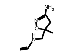 C=CNCC1(C)CC(N)=NO1